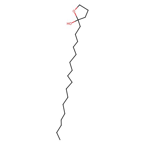 CCCCCCCCCCCCCCCCCC1(O)CCCO1